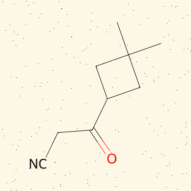 CC1(C)CC(C(=O)CC#N)C1